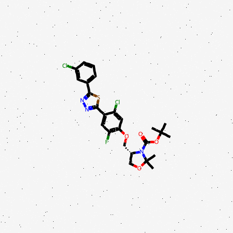 CC(C)(C)OC(=O)N1[C@@H](COc2cc(Cl)c(-c3nnc(-c4cccc(Cl)c4)s3)cc2F)COC1(C)C